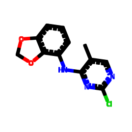 Cc1cnc(Cl)nc1Nc1cccc2c1OCO2